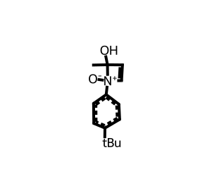 CC(C)(C)c1ccc([N+]2([O-])C=CC2(C)O)cc1